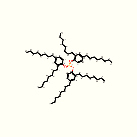 CCCCCCCCc1ccc(OP(Oc2ccc(CCCCCCCC)cc2CCCCCCCC)Oc2ccc(CCCCCCCC)cc2CCCCCCCC)c(CCCCCCCC)c1